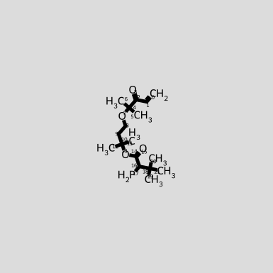 C=CC(=O)C(C)(C)OCCC(C)(C)OC(=O)C(P)C(C)(C)C